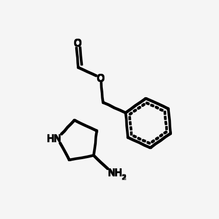 NC1CCNC1.O=COCc1ccccc1